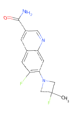 CC1(F)CN(c2cc3ncc(C(N)=O)cc3cc2F)C1